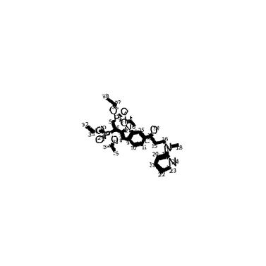 CCOP(=O)(CC(c1cc2ccc(C(=O)CCN(C)c3ccccn3)cc2[nH]1)P(=O)(OCC)OCC)OCC